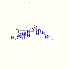 CNc1cc(F)cc2cc(C(=O)Nc3ccc(C(=O)NCC4CCN(CCN)CC4)cc3)c(=O)[nH]c12